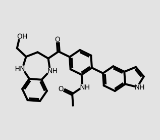 CC(=O)Nc1cc(C(=O)C2CC(CO)Nc3ccccc3N2)ccc1-c1ccc2[nH]ccc2c1